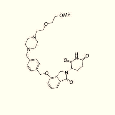 COCCOCCN1CCN(Cc2ccc(COc3cccc4c3CN([C@H]3CCC(=O)NC3=O)C4=O)cc2)CC1